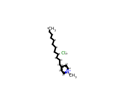 CCCCCCCCCCCCc1cc[n+](C)cc1.[Cl-]